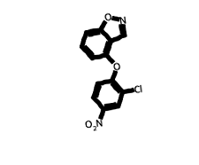 O=[N+]([O-])c1ccc(Oc2cccc3oncc23)c(Cl)c1